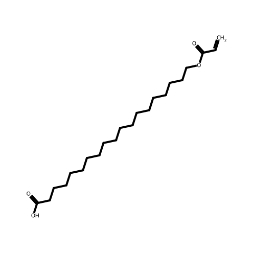 C=CC(=O)OCCCCCCCCCCCCCCCCCCC(=O)O